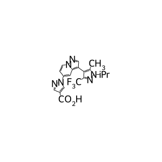 Cc1c(-c2cnn3ccc(-n4cc(C(=O)O)cn4)cc23)c(C(F)(F)F)nn1C(C)C